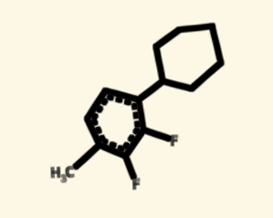 Cc1ccc(C2CCCCC2)c(F)c1F